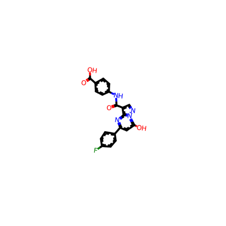 O=C(O)c1ccc(NC(=O)c2cnn3c(O)cc(-c4ccc(F)cc4)nc23)cc1